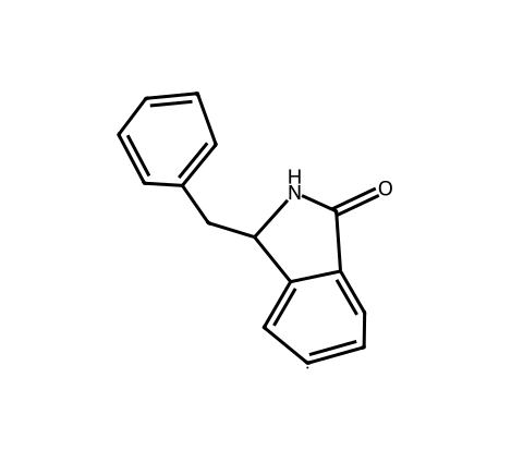 O=C1NC(Cc2ccccc2)c2c[c]ccc21